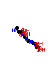 Cc1cc(N=Nc2cc(O)c(N=Nc3c(S(=O)(=O)O)cc4cc(Nc5ccccc5)ccc4c3O)cc2C)ccc1N=Nc1ccc(N=Nc2ccc(S(=O)(=O)O)cc2S(=O)(=O)O)c(C)c1